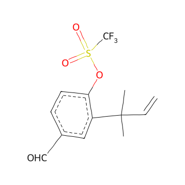 C=CC(C)(C)c1cc(C=O)ccc1OS(=O)(=O)C(F)(F)F